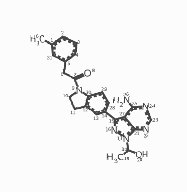 Cc1cccc(CC(=O)N2CCc3cc(-c4nn(C(C)O)c5ncnc(N)c45)ccc32)c1